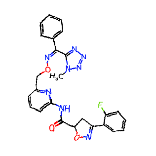 Cn1nnnc1/C(=N\OCc1cccc(NC(=O)C2CC(c3ccccc3F)=NO2)n1)c1ccccc1